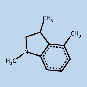 Cc1cccc2c1C(C)CN2C